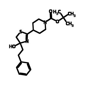 CC(C)(C)OC(=O)N1CCC(C2=NC(O)(CCc3ccccc3)CS2)CC1